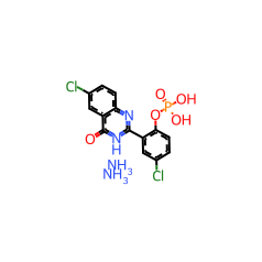 N.N.O=c1[nH]c(-c2cc(Cl)ccc2OP(=O)(O)O)nc2ccc(Cl)cc12